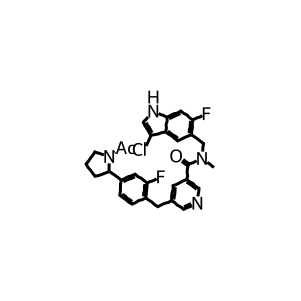 CC(=O)N1CCCC1c1ccc(Cc2cncc(C(=O)N(C)Cc3cc4c(Cl)c[nH]c4cc3F)c2)c(F)c1